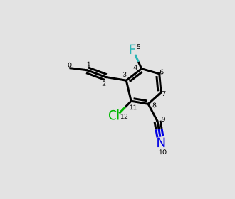 CC#Cc1c(F)ccc(C#N)c1Cl